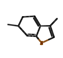 Cc1csc2c1=CCC(C)C=2